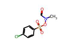 CN(C=O)OS(=O)(=O)c1ccc(Cl)cc1